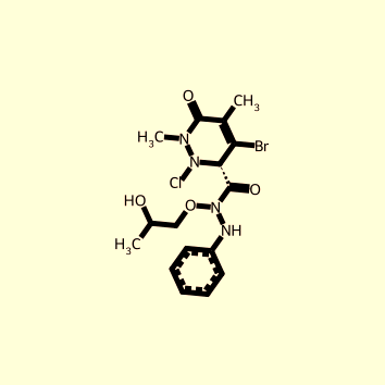 CC1=C(Br)[C@H](C(=O)N(Nc2ccccc2)OCC(C)O)N(Cl)N(C)C1=O